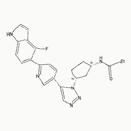 CCC(=O)N[C@H]1CC[C@@H](n2nncc2-c2ccc(-c3ccc4[nH]ccc4c3F)nc2)C1